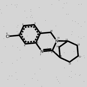 Clc1ccc2c(c1)N=C1C3CCCC(C3)N1C2